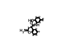 NC(=O)C[C@@H](C(=O)Nc1cc(F)ccc1O)c1ccccc1